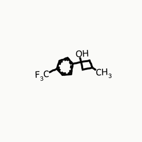 CC1CC(O)(c2ccc(C(F)(F)F)cc2)C1